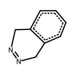 [CH]1N=NCc2ccccc21